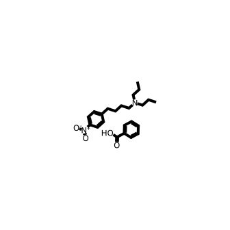 CCCN(CCC)CCCCc1ccc([N+](=O)[O-])cc1.O=C(O)c1ccccc1